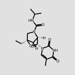 CC[C@@]12CN(C(=O)NC(C)C)[C@@H]([C@H](n3cc(C)c(=O)[nH]c3=O)O1)[C@@H]2O